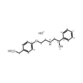 Cl.O=C(O)Cc1ccc(OCCNC[C@H](O)c2ccccc2)cc1